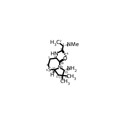 CN[C@@H](C)C(=S)N[C@H]1CCS[C@H]2CC(C)(C)[C@@H](N)N2C1=O